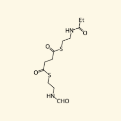 CCC(=O)NCCSC(=O)CCC(=O)SCCNC=O